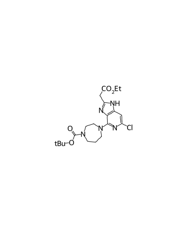 CCOC(=O)Cc1nc2c(N3CCCN(C(=O)OC(C)(C)C)CC3)nc(Cl)cc2[nH]1